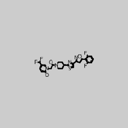 O=C(Cn1cc(C(F)F)ccc1=O)N1CCC(c2nc(C3=NOC(c4c(F)cccc4F)C3)cs2)CC1